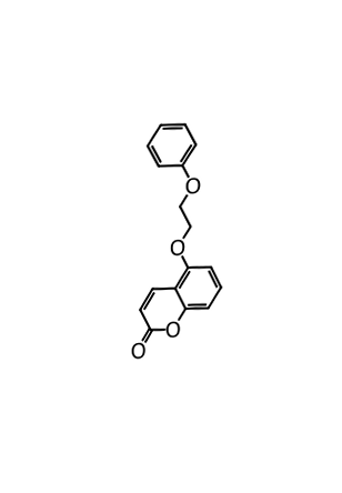 O=c1ccc2c(OCCOc3ccccc3)cccc2o1